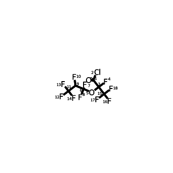 O=C(Cl)C(F)(OC(F)(F)C(F)C(F)(F)F)C(F)(F)F